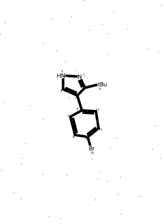 CC(C)(C)c1n[nH]cc1-c1ccc(Br)cc1